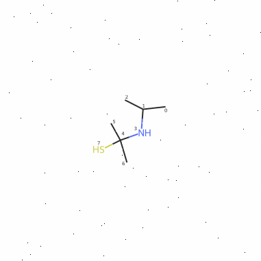 CC(C)NC(C)(C)S